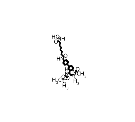 CC(=O)N1c2ccc(-c3ccc(NC(=O)CCCCCCC(=O)NO)cc3)cc2[C@H](NC(=O)OC(C)C)C[C@@H]1C